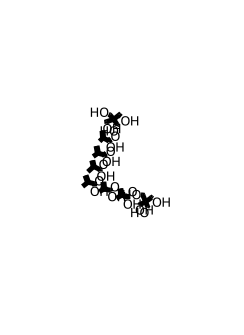 C=C(C)C(=O)O.C=C(C)C(=O)O.C=C(C)C(=O)O.C=C(C)C(=O)O.C=C(C)C(=O)O.C=C(C)C(=O)O.OCC(CO)(CO)CO.OCC(CO)(CO)CO